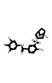 Cc1ccc(C(=O)Nc2cc(F)c(F)c(F)c2)cc1S(=O)(=O)[C@@H]1CC2CC[C@@H](C1)[C@]2(C)O